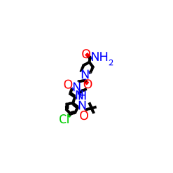 Cc1nc(-c2ccc(Cl)cc2NC(=O)C(C)(C)C)cc(=O)n1CC(=O)N1CCC(C(N)=O)CC1